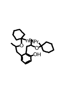 CCCC1(OC(C)Cc2cccc(O)c2CC(C)OC2(CCC)CCCCC2)CCCCC1